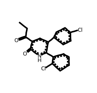 CCC(=O)c1cc(-c2ccc(Cl)cc2)c(-c2ccccc2Cl)[nH]c1=O